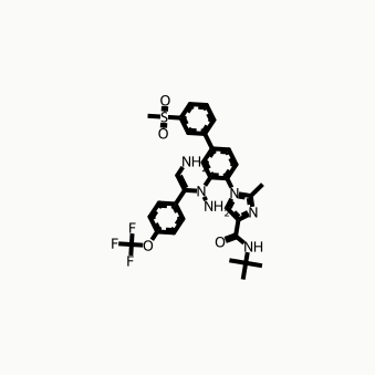 Cc1nc(C(=O)NC(C)(C)C)cn1-c1ccc(-c2cccc(S(C)(=O)=O)c2)cc1N(N)/C(=C\N)c1ccc(OC(F)(F)F)cc1